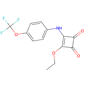 CCOc1c(Nc2ccc(OC(F)(F)F)cc2)c(=O)c1=O